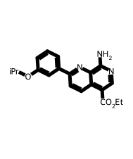 CCOC(=O)c1cnc(N)c2nc(-c3cccc(OC(C)C)c3)ccc12